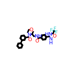 N=C(NC(=O)C(F)(F)F)c1ccc(C(=O)NCC2COCCN2C(=O)c2cccc(-c3ccccc3)c2)cc1